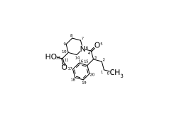 CCCC(C(=O)N1CCCC(C(=O)O)C1)c1ccccc1